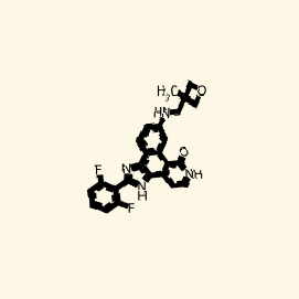 CC1(CNc2ccc3c(c2)c2c(=O)[nH]ccc2c2[nH]c(-c4c(F)cccc4F)nc32)COC1